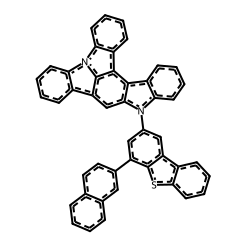 c1ccc2cc(-c3cc(-n4c5ccccc5c5c6c7ccccc7n7c8ccccc8c(cc54)c67)cc4c3sc3ccccc34)ccc2c1